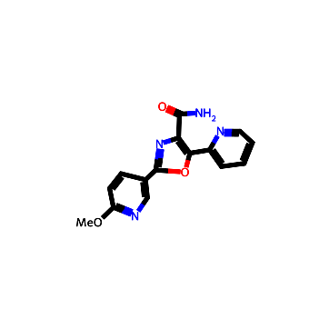 COc1ccc(-c2nc(C(N)=O)c(-c3ccccn3)o2)cn1